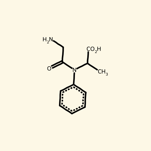 CC(C(=O)O)N(C(=O)CN)c1ccccc1